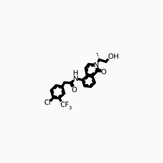 C[C@H](CO)n1ccc2c(NC(=O)Cc3ccc(Cl)c(C(F)(F)F)c3)cccc2c1=O